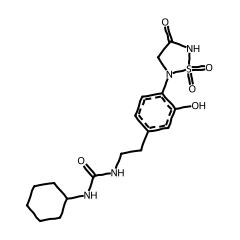 O=C1CN(c2ccc(CCNC(=O)NC3CCCCC3)cc2O)S(=O)(=O)N1